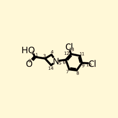 O=C(O)C1CN(c2ccc(Cl)cc2Cl)C1